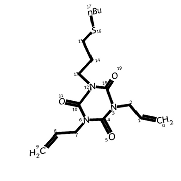 C=CCn1c(=O)n(CC=C)c(=O)n(CCCSCCCC)c1=O